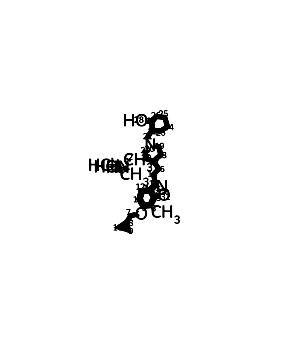 CNC.Cc1c(OCC2CC2)ccc2c(CCC3CCN(CC4CCCCC4O)CC3)noc12.Cl.Cl